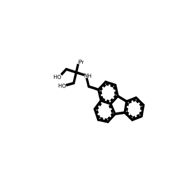 CC(C)C(CO)(CO)NCc1ccc2c3c(cccc13)-c1ccccc1-2